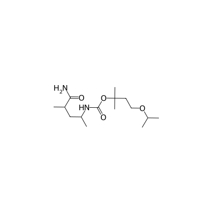 CC(CC(C)C(N)=O)NC(=O)OC(C)(C)CCOC(C)C